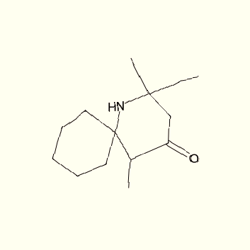 CCC1(C)CC(=O)C(C)C2(CCCCC2)N1